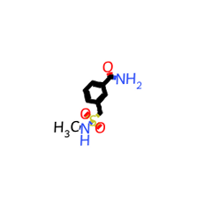 CNS(=O)(=O)Cc1cccc(C(N)=O)c1